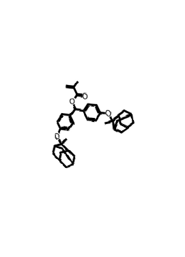 C=C(C)C(=O)OC(c1ccc(OC2(C)C3CC4CC(C3)CC2C4)cc1)c1ccc(OC2(C)C3CC4CC(C3)CC2C4)cc1